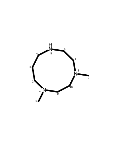 CN1CCCNCCN(C)CC1